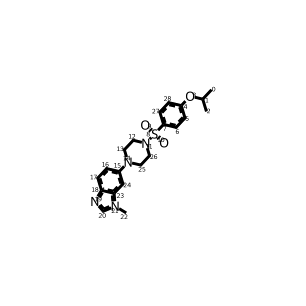 CC(C)Oc1ccc(S(=O)(=O)N2CCN(c3ccc4ncn(C)c4c3)CC2)cc1